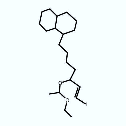 CCOC(C)OC(C=CI)CCCCC1CCCC2CCCCC12